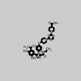 CCNC(=O)c1nnc(-c2cc(C(C)C)c(O)cc2O)n1-c1ccc(OC2CCN(c3ncnc(N4CCC(C(=O)O)CC4)n3)CC2)cc1